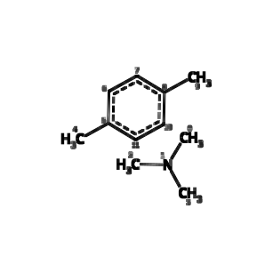 CN(C)C.Cc1ccc(C)cc1